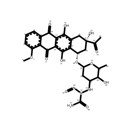 COc1cccc2c1C(=O)c1c(O)c3c(c(O)c1C2=O)C[C@@](O)(C(C)=O)C[C@@H]3OC1CC(NN(N=O)C(N)=O)C(O)C(C)O1